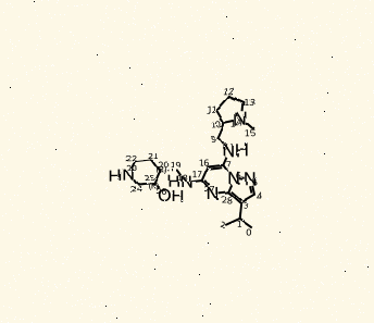 CC(C)c1cnn2c(NCC3CCCN3C)cc(NC[C@H]3CCNC[C@@H]3O)nc12